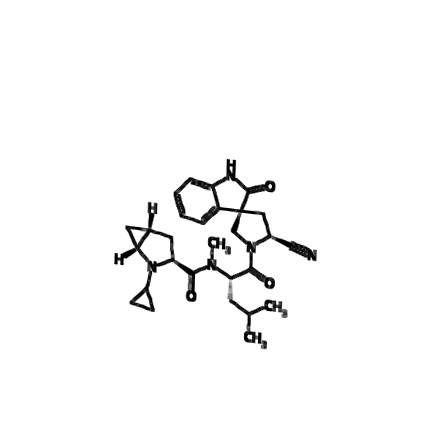 CC(C)C[C@@H](C(=O)N1C[C@]2(C[C@H]1C#N)C(=O)Nc1ccccc12)N(C)C(=O)[C@@H]1C[C@H]2C[C@H]2N1C1CC1